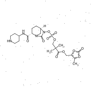 Cc1oc(=O)oc1COC(=O)C(C)(C)COS(=O)(=O)ON1C(=O)N2C[C@H]1CC[C@H]2C(=O)NC1CCNCC1